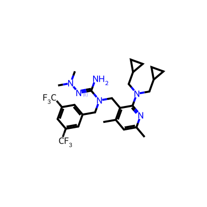 Cc1cc(C)c(CN(Cc2cc(C(F)(F)F)cc(C(F)(F)F)c2)/C(N)=N/N(C)C)c(N(CC2CC2)CC2CC2)n1